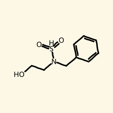 O=[SH](=O)N(CCO)Cc1ccccc1